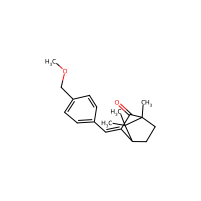 COCc1ccc(/C=C2\C(=O)C3(C)CCC2C3(C)C)cc1